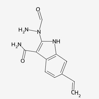 C=Cc1ccc2c(C(N)=O)c(N(N)C=O)[nH]c2c1